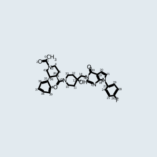 CC(=O)N1CC[C@@H](C(=O)N2CCC(O)(Cn3cnc4c(ccn4-c4ccc(F)cc4)c3=O)CC2)[C@H](c2ccccc2)C1